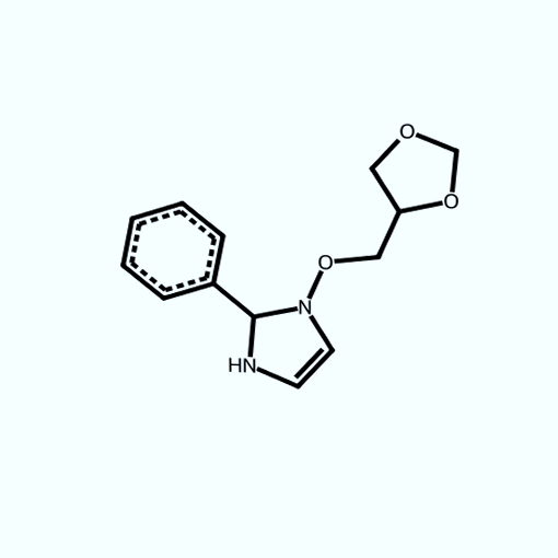 C1=CN(OCC2COCO2)C(c2ccccc2)N1